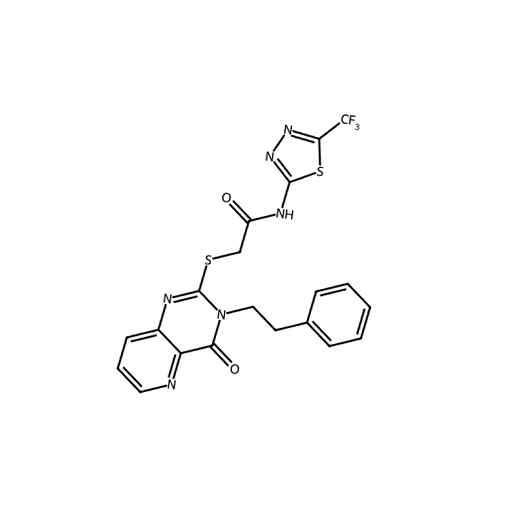 O=C(CSc1nc2cccnc2c(=O)n1CCc1ccccc1)Nc1nnc(C(F)(F)F)s1